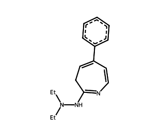 CCN(CC)NC1=NC=CC(c2ccccc2)=CC1